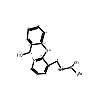 CC(C)(C)[S+]([O-])NCc1cccnc1Sc1ccccc1CO